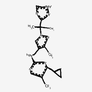 Cc1nn(C(C)(C)c2nc[nH]n2)cc1Nc1ncc(C(F)(F)F)c(C2CC2)n1